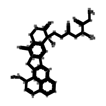 CCCCCN1C=Nc2cccc3nc4c(c1c23)Cn1c-4cc2c(c1=O)COC(=O)[C@@]2(CC)CCC(=O)CN(C)C(=O)CN